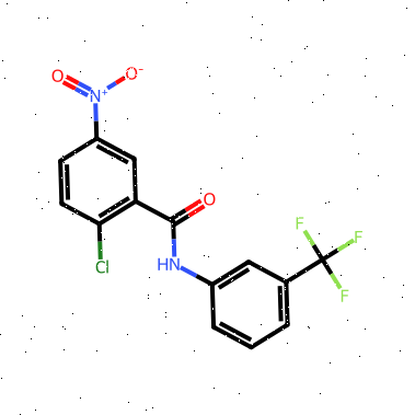 O=C(Nc1cccc(C(F)(F)F)c1)c1cc([N+](=O)[O-])ccc1Cl